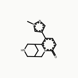 Cn1cc(-c2ccc(=O)n3c2C2CNCC(C2)C3)cn1